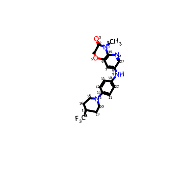 CN1C(=O)COc2cc(Nc3ccc(N4CCC(C(F)(F)F)CC4)cc3)cnc21